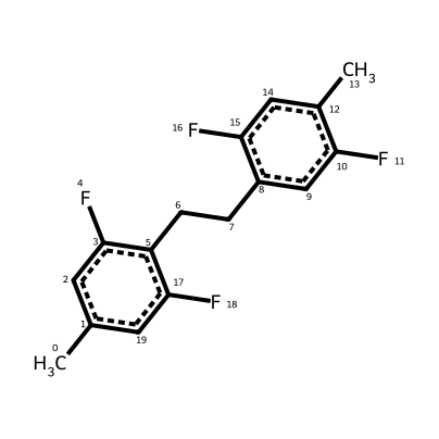 Cc1cc(F)c(CCc2cc(F)c(C)cc2F)c(F)c1